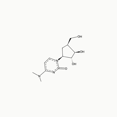 CN(C)c1ccn([C@H]2C[C@@H](CO)[C@@H](O)[C@@H]2O)c(=O)n1